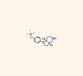 FC(F)(F)Oc1ccc(N2CC[C@H]3CNCC[C@H]32)cc1